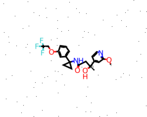 COc1cc([C@](C)(O)CC(=O)NC2(c3cccc(OCC(F)(F)F)c3)CC2)ccn1